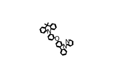 CC1(C)c2ccccc2N(c2cccc(Oc3ccc4c5ccccc5n(-c5ccccn5)c4c3)c2)c2ccccc21